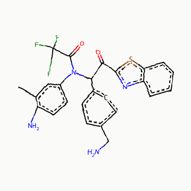 Cc1cc(N(C(=O)C(F)(F)F)C(C(=O)c2nc3ccccc3s2)c2ccc(CN)cc2)ccc1N